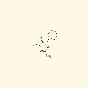 COC(=O)[C@@H](NC(C)=O)C1CCCCC1